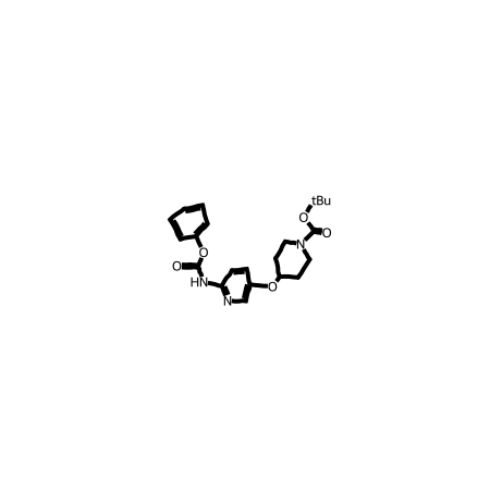 CC(C)(C)OC(=O)N1CCC(Oc2ccc(NC(=O)Oc3ccccc3)nc2)CC1